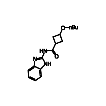 CCCCOC1CC(C(=O)Nc2nc3ccccc3[nH]2)C1